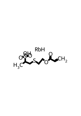 C=CC(=O)OCCSCC(C)S(=O)(=O)O.[RbH]